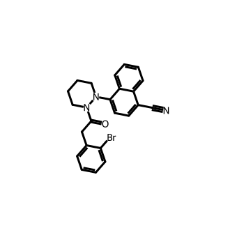 N#Cc1ccc(N2CCCCN2C(=O)Cc2ccccc2Br)c2ccccc12